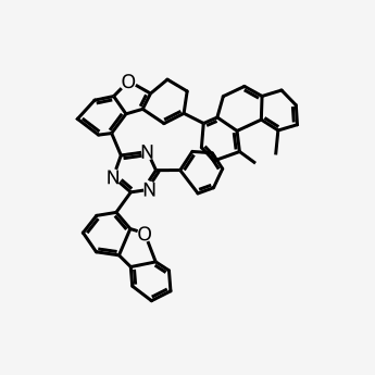 CC1=C2C(=CCc3c(C4=Cc5c(oc6cccc(-c7nc(-c8ccccc8)nc(-c8cccc9c8oc8ccccc89)n7)c56)CC4)ccc(C)c32)CC=C1